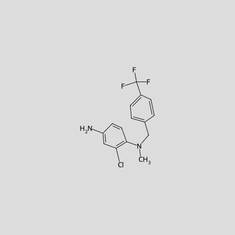 CN(Cc1ccc(C(F)(F)F)cc1)c1ccc(N)cc1Cl